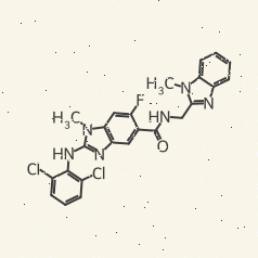 Cn1c(CNC(=O)c2cc3nc(Nc4c(Cl)cccc4Cl)n(C)c3cc2F)nc2ccccc21